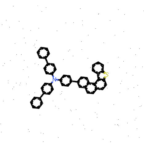 c1ccc(-c2ccc(N(c3ccc(-c4ccccc4)cc3)c3ccc(-c4ccc5c(ccc6ccc7sc8ccccc8c7c65)c4)cc3)cc2)cc1